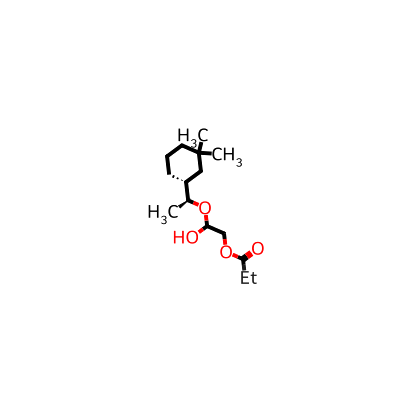 CCC(=O)OCC(O)O[C@@H](C)[C@@H]1CCCC(C)(C)C1